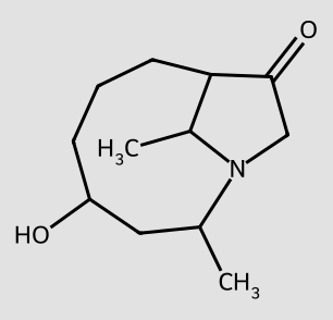 CC1CC(O)CCCC2C(=O)CN1C2C